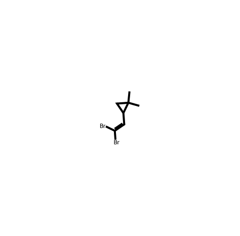 CC1(C)CC1C=C(Br)Br